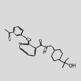 CC(=O)c1cccc(Oc2ncccc2C(=O)NCC2CCC(C(C)(C)O)CC2)c1